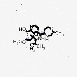 CO/C=C/C(C)(Cl)[C@@H](N/C(=C1/CCO[C@H](C)CN1)c1ccnc(CO)c1)C(C)C